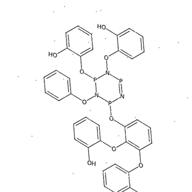 Oc1ccccc1Oc1cccc(Op2npn(Oc3ccccc3O)p(Oc3ccccc3O)n2Oc2ccccc2)c1Oc1ccccc1O